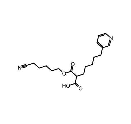 N#CCCCCCOC(=O)C(CCCCCc1cccnc1)C(=O)O